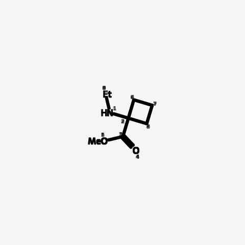 CCNC1(C(=O)OC)CCC1